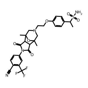 CC(c1ccc(OCCN2CC3(C)OC(C)(C2)C2C(=O)N(c4ccc(C#N)c(C(F)(F)F)c4)C(=O)C23)cc1)S(N)(=O)=O